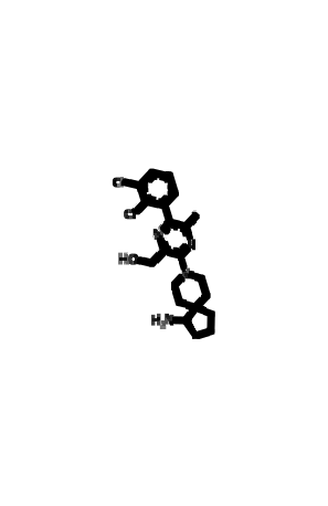 Cc1nc(N2CCC3(CCCC3N)CC2)c(CO)nc1-c1cccc(Cl)c1Cl